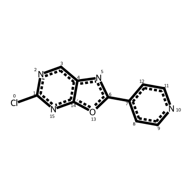 Clc1ncc2nc(-c3ccncc3)oc2n1